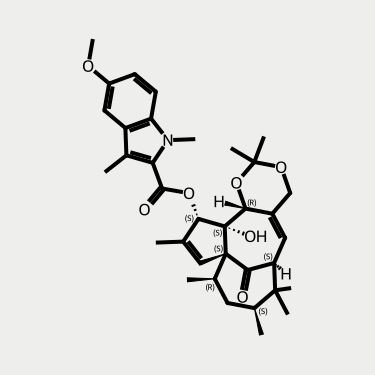 COc1ccc2c(c1)c(C)c(C(=O)O[C@H]1C(C)=C[C@]34C(=O)[C@@H](C=C5COC(C)(C)O[C@H]5[C@]13O)C(C)(C)[C@@H](C)C[C@H]4C)n2C